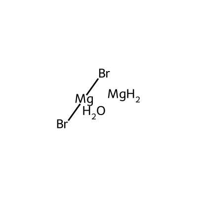 O.[Br][Mg][Br].[MgH2]